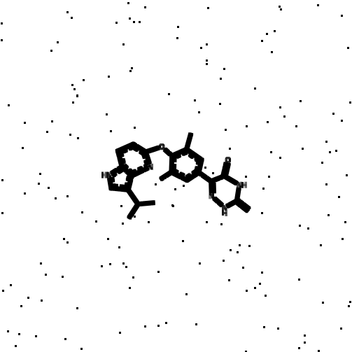 C=C1NN=C(c2cc(C)c(Oc3ccc4[nH]cc(C(C)C)c4n3)c(C)c2)C(=O)N1